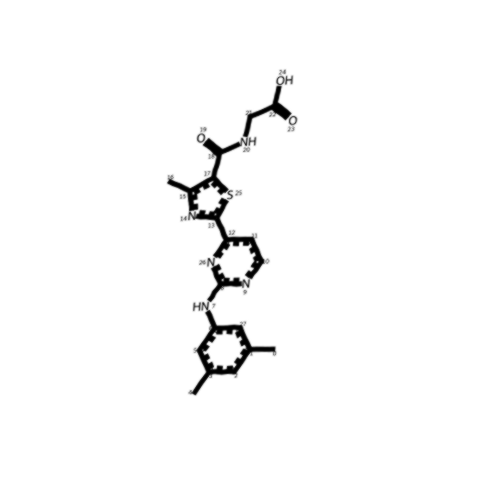 Cc1cc(C)cc(Nc2nccc(-c3nc(C)c(C(=O)NCC(=O)O)s3)n2)c1